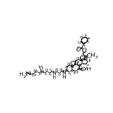 C[C@H](COC(=O)c1ccccc1)[C@H]1CCC2C3C(CC[C@@]21C)[C@@]1(C)CC[C@H](NCCCNCCCCNCCCN)CC1C[C@H]3O